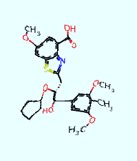 COc1cc(C(=O)O)c2nc(C[C@@H](OC3CCCC3)[C@H](O)c3cc(OC)c(C)c(OC)c3)sc2c1